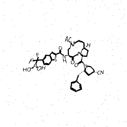 CC(=O)N1CC[C@H]2CC[C@@H](C(=O)N3C[C@H](C#N)C[C@@H]3Cc3ccccc3)N2C(=O)[C@@H](NC(=O)c2cc3cc(C(F)(F)P(O)O)ccc3s2)C1